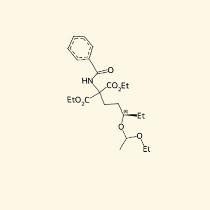 CCOC(=O)C(CC[C@@H](CC)OC(C)OCC)(NC(=O)c1ccccc1)C(=O)OCC